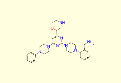 NCc1ccccc1N1CCN(c2nc(C3CNCCO3)cc(N3CCN(c4ccccc4)CC3)n2)CC1